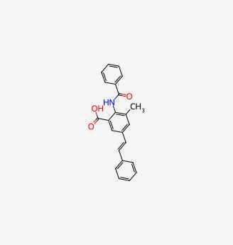 Cc1cc(C=Cc2ccccc2)cc(C(=O)O)c1NC(=O)c1ccccc1